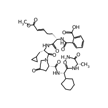 COC(=O)/C=C/CC[C@H](NC(=O)c1ccccc1C(=O)O)C(=O)N[C@@H](CC1CC1)C(=O)N1CC(=O)C[C@H]1C(=O)N[C@H](C(=O)N[C@@H](C)C(N)=O)C1CCCCC1